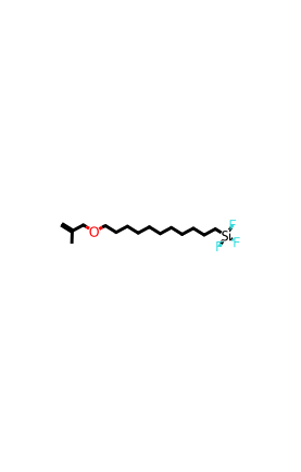 C=C(C)COCCCCCCCCCCC[Si](F)(F)F